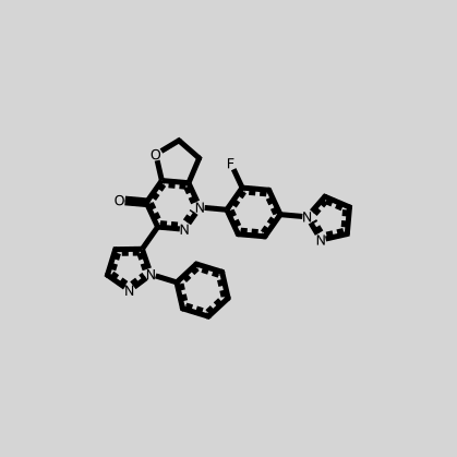 O=c1c(-c2ccnn2-c2ccccc2)nn(-c2ccc(-n3cccn3)cc2F)c2c1OCC2